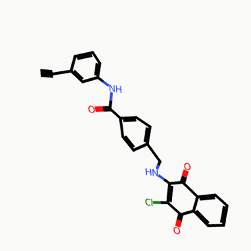 C#Cc1cccc(NC(=O)c2ccc(CNC3=C(Cl)C(=O)c4ccccc4C3=O)cc2)c1